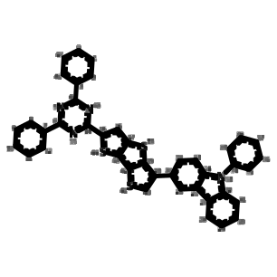 c1ccc(-c2nc(-c3ccccc3)nc(-c3cc4sc5c(-c6ccc7c(c6)c6ccccc6n7-c6ccccc6)csc5c4s3)n2)cc1